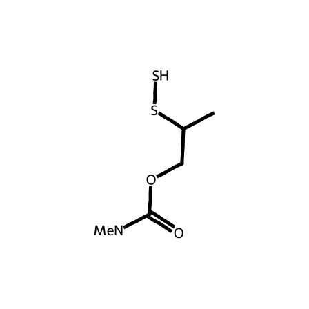 CNC(=O)OCC(C)SS